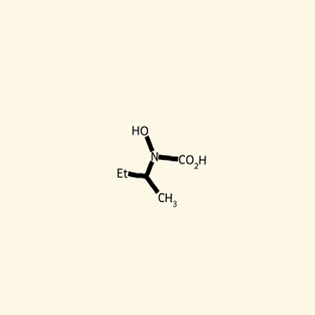 CCC(C)N(O)C(=O)O